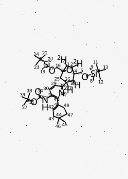 [2H]C1C([2H])C2(CO[Si](C)(C)C(C)(C)C)OC1(CO[Si](C)(C)C(C)(C)C)CC([2H])(c1ccc(NC(=O)OC(C)(C)C)c(C3=CCC(C)(C)CC3)n1)C2[2H]